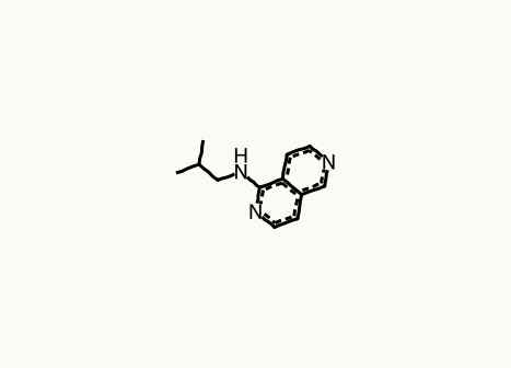 CC(C)CNc1nccc2cnccc12